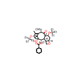 CC[Si](CC)(CC)O[C@H]1C[C@@]2(O)[C@@H](OC(=O)c3ccccc3)[C@@H]3[C@]4(OC(C)=O)CO[C@@H]4C[C@H](O[Si](CC)(CC)CC)[C@@]3(C)C(=O)[C@H](OC)C(=C1C)C2(C)C